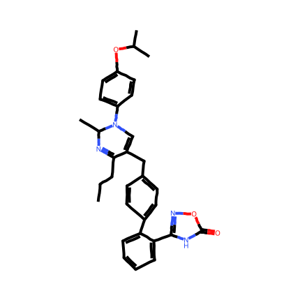 CCCC1=NC(C)N(c2ccc(OC(C)C)cc2)C=C1Cc1ccc(-c2ccccc2-c2noc(=O)[nH]2)cc1